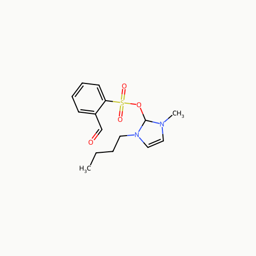 CCCCN1C=CN(C)C1OS(=O)(=O)c1ccccc1C=O